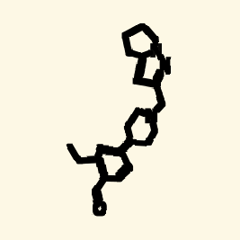 CCc1cc(C2CCN(Cc3cc4n(n3)CCCC4)CC2)ccc1C=O